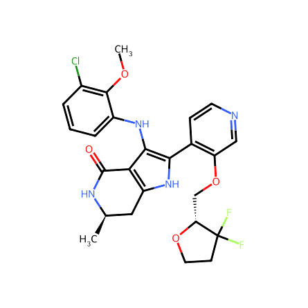 COc1c(Cl)cccc1Nc1c(-c2ccncc2OC[C@H]2OCCC2(F)F)[nH]c2c1C(=O)N[C@H](C)C2